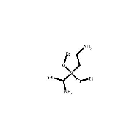 CCCC(N)[Si](CCN)(OCC)OCC